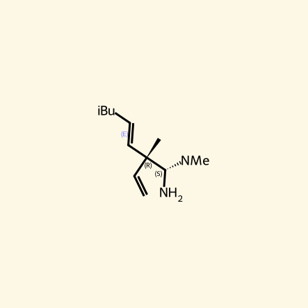 C=C[C@](C)(/C=C/C(C)CC)[C@@H](N)NC